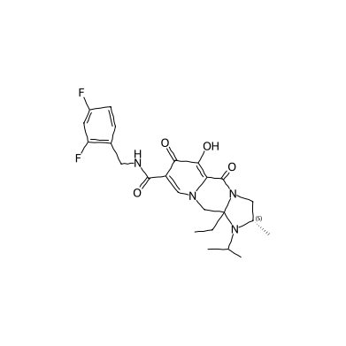 CCC12Cn3cc(C(=O)NCc4ccc(F)cc4F)c(=O)c(O)c3C(=O)N1C[C@H](C)N2C(C)C